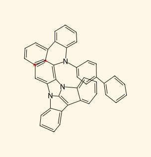 c1ccc(-c2ccc(N(c3ccccc3-c3ccccc3)c3cccc4c3n3c5ccccc5c5c6ccccc6n4c53)cc2)cc1